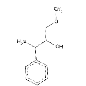 COCC(O)C(N)c1ccccc1